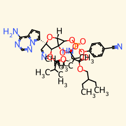 CCC(CC)COC(=O)[C@H](C)NP(=O)(Oc1ccc(C#N)cc1)OC1[C@H]2O[C@@](/C=N\C)(c3ccc4c(N)ncnn34)[C@H](OC(=O)C(C)C)[C@@]12OC(=O)C(C)C